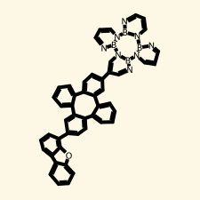 C1=CN2B(N=C1)N1C=CC=NB1N1C=C(c3ccc4c(c3)-c3ccccc3-c3ccc(-c5cccc6c5oc5ccccc56)cc3-c3ccccc3-4)C=NB1N1C=CC=NB21